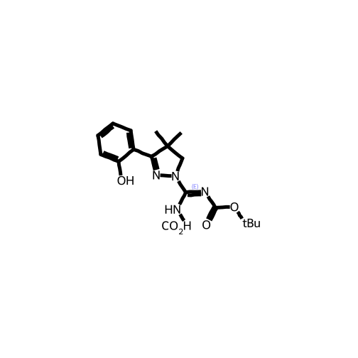 CC(C)(C)OC(=O)/N=C(\NC(=O)O)N1CC(C)(C)C(c2ccccc2O)=N1